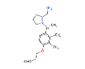 COCCOc1ccc([C@@H](C)N2CCCC2CN)c(C)c1C